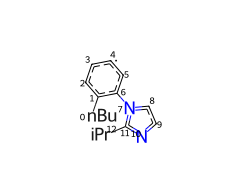 CCCCc1cc[c]cc1-n1ccnc1C(C)C